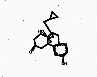 O=C1CC[C@]2(O)C3Cc4ccc(O)cc4[C@]2(CCN3CC2CC2)C1